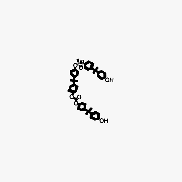 CC(C)(c1ccc(O)cc1)c1ccc(OC(=O)Oc2ccc(C(C)(C)c3ccc(OP(C)(=O)Oc4ccc(C(C)(C)c5ccc(O)cc5)cc4)cc3)cc2)cc1